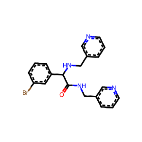 O=C(NCc1cccnc1)C(NCc1cccnc1)c1cccc(Br)c1